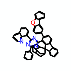 c1ccc(-c2nc(-c3c(-c4ccc5oc6ccccc6c5c4)ccc4c3C3(c5ccccc5-4)C4CC5CC(C4)CC3C5)nc(-c3cccc4cccnc34)n2)cc1